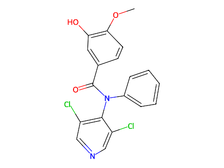 COc1ccc(C(=O)N(c2ccccc2)c2c(Cl)cncc2Cl)cc1O